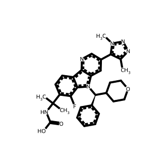 Cc1nnn(C)c1-c1cnc2c3ccc(C(C)(C)NC(=O)O)c(F)c3n([C@H](c3ccccc3)C3CCOCC3)c2c1